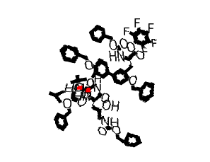 CC(C)C[C@H](NC(=O)[C@H](Cc1cc(-c2ccc(OCc3ccccc3)c(C[C@H](NC(=O)OCc3ccccc3)C(=O)Oc3c(F)c(F)c(F)c(F)c3F)c2)ccc1OCc1ccccc1)NC(=O)[C@H](C[C@@H](O)CNC(=O)OCc1ccccc1)NC(=O)OC(C)(C)C)C(=O)OCc1ccccc1